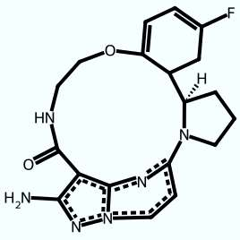 Nc1nn2ccc3nc2c1C(=O)NCCOC1=CC=C(F)CC1[C@H]1CCCN31